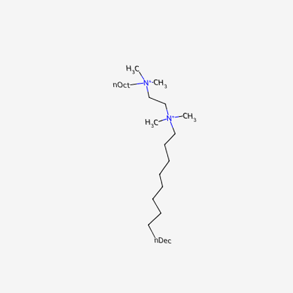 CCCCCCCCCCCCCCCCCC[N+](C)(C)CC[N+](C)(C)CCCCCCCC